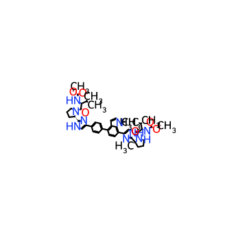 COC(=O)N[C@H](C(=O)N1CCC[C@H]1c1nc(-c2ccc(-c3ccc(-c4c[nH]c([C@]5(C)CCCN5C(=O)[C@@H](NC(=O)OC)C(C)C)n4)c4c3ccn4C)cc2)c[nH]1)C(C)C